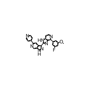 COc1cc(F)cc(-c2nccc3[nH]c(-c4n[nH]c5cnc(-c6ccncc6)cc45)nc23)c1